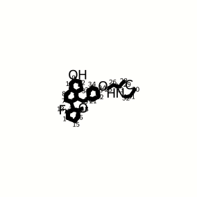 Oc1ccc2c3c(ccc2c1)-c1c(F)cccc1OC3c1ccc(OCCC2CCCCCN2)cc1